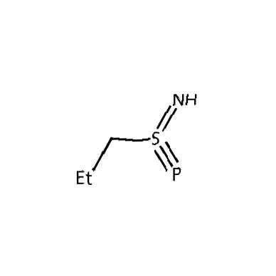 CCCS(=N)#P